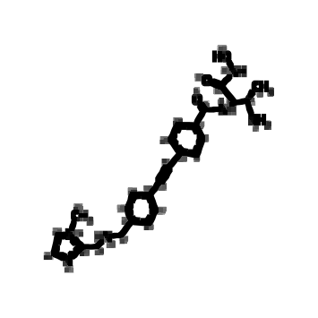 C[C@@H](N)C(NC(=O)c1ccc(C#Cc2ccc(CNCc3nccn3C)cc2)cc1)C(=O)NO